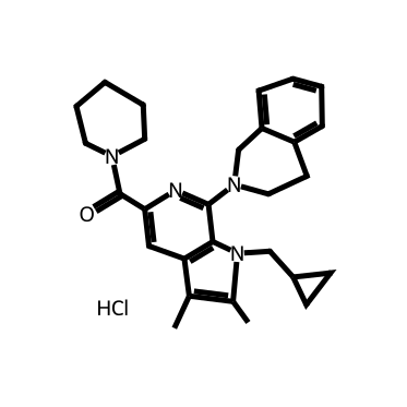 Cc1c(C)n(CC2CC2)c2c(N3CCc4ccccc4C3)nc(C(=O)N3CCCCC3)cc12.Cl